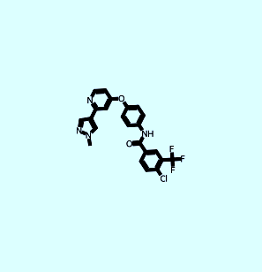 Cn1cc(-c2cc(Oc3ccc(NC(=O)c4ccc(Cl)c(C(F)(F)F)c4)cc3)ccn2)cn1